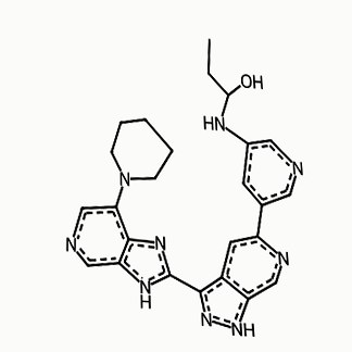 CCC(O)Nc1cncc(-c2cc3c(-c4nc5c(N6CCCCC6)cncc5[nH]4)n[nH]c3cn2)c1